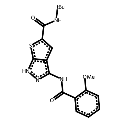 COc1ccccc1C(=O)Nc1n[nH]c2sc(C(=O)NC(C)(C)C)cc12